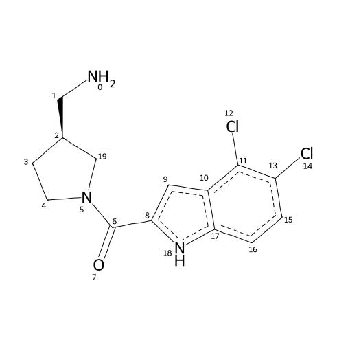 NC[C@@H]1CCN(C(=O)c2cc3c(Cl)c(Cl)ccc3[nH]2)C1